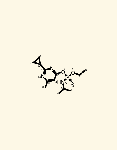 CCOP(=S)(NC(C)C)Oc1cc(C)nc(C2CC2)n1